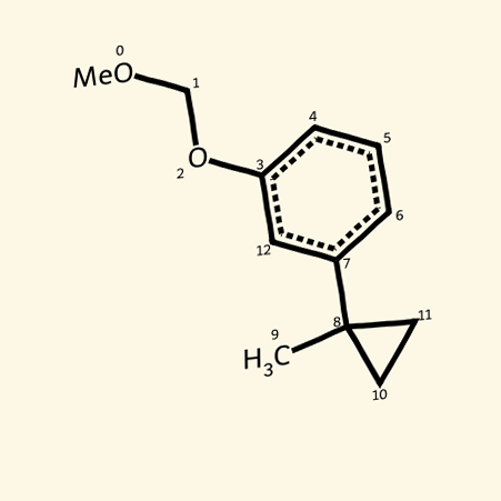 COCOc1cccc(C2(C)CC2)c1